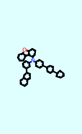 c1ccc(-c2ccc(-c3ccc(N(c4cccc(-c5ccc6ccccc6c5)c4)c4cccc5oc6ccccc6c45)cc3)cc2)cc1